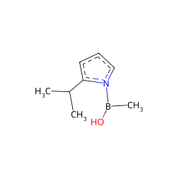 CB(O)n1cccc1C(C)C